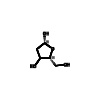 OC[C@H]1O[C@@H](O)CC1O